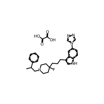 CC(CN1CCC(F)(CCCc2c[nH]c3ccc(-n4cnnc4)cc23)CC1)c1ccccc1.O=C(O)C(=O)O